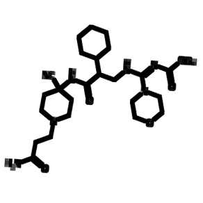 CC(C)COC(=O)N=C(NCC(C(=O)NC1(C#N)CCN(CCC(N)=O)CC1)C1CCCCC1)N1CCOCC1